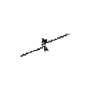 CCCCCCCCCCCCCCCCC(COCC(CCCCCCCCCCCCCCCC)C(C)N(CC)CC)C(C)N(CC)CC